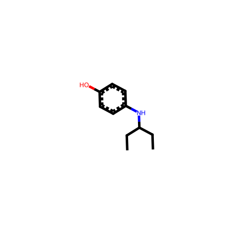 CCC(CC)Nc1ccc(O)cc1